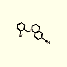 N#Cc1ccc2c(c1)CCCN2Cc1ccccc1Br